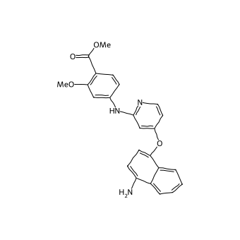 COC(=O)c1ccc(Nc2cc(Oc3ccc(N)c4ccccc34)ccn2)cc1OC